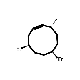 CC[C@H]1C/C=C\[C@H](C)CC[C@@H](C(C)C)CC1